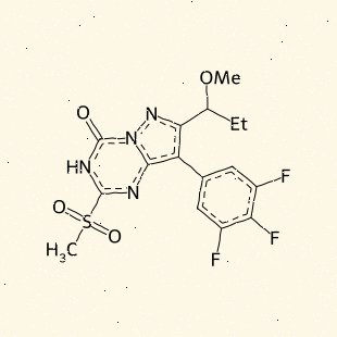 CCC(OC)c1nn2c(=O)[nH]c(S(C)(=O)=O)nc2c1-c1cc(F)c(F)c(F)c1